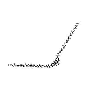 COC(OC)(C(=O)c1ccc(SCCOCCOCCOCCOCCOCCOCCOCCOCCO)cc1)c1ccc(SCCOCCOCCOCCOCCOCCOCCOCCOCCO)cc1